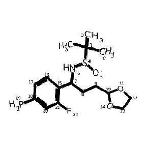 CC(C)(C)[S+]([O-])NC(CCC1OCCO1)c1ccc(P)cc1F